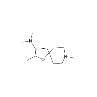 CC1OC2(CCN(C)CC2)CC1N(C)C